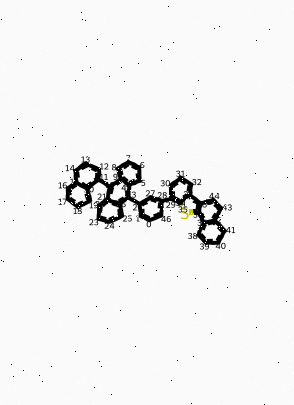 c1cc(-c2c3ccccc3c(-c3cccc4ccccc34)c3ccccc23)cc(-c2cccc3c2sc2c4ccccc4ccc32)c1